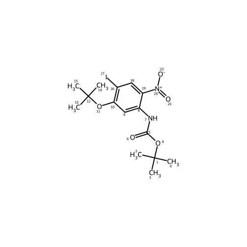 CC(C)(C)OC(=O)Nc1cc(OC(C)(C)C)c(I)cc1[N+](=O)[O-]